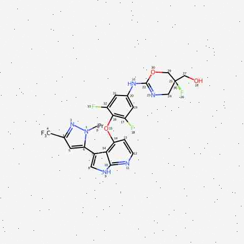 CC(C)n1nc(C(F)(F)F)cc1-c1c[nH]c2nccc(Oc3c(F)cc(NC4=NC[C@@](F)(CO)CO4)cc3F)c12